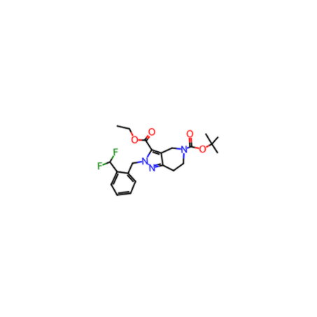 CCOC(=O)c1c2c(nn1Cc1ccccc1C(F)F)CCN(C(=O)OC(C)(C)C)C2